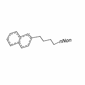 CCCCCCCCCCCCCc1[c]c2ccccc2cc1